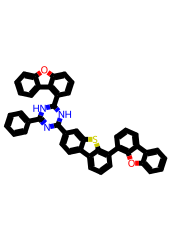 c1ccc(C2=NC(c3ccc4c(c3)sc3c(-c5cccc6c5oc5ccccc56)cccc34)NC(c3cccc4oc5ccccc5c34)N2)cc1